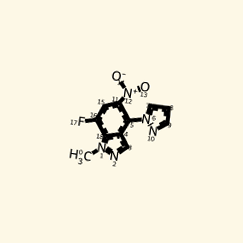 Cn1ncc2c(-n3cccn3)c([N+](=O)[O-])cc(F)c21